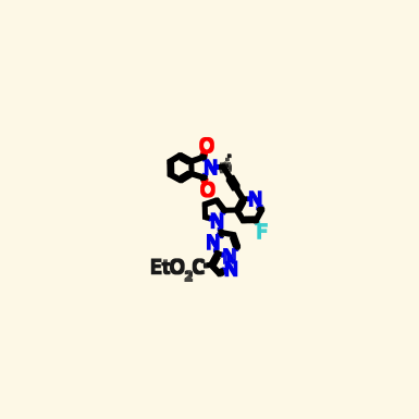 CCOC(=O)c1cnn2ccc(N3CCCC3c3cc(F)cnc3C#C[C@@H](C)N3C(=O)c4ccccc4C3=O)nc12